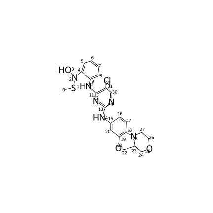 CSN(O)c1ccccc1Nc1nc(Nc2ccc3c(c2)OCC2COCCN32)ncc1Cl